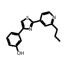 CCCc1cc(-c2nc(-c3cccc(O)c3)cs2)ccn1